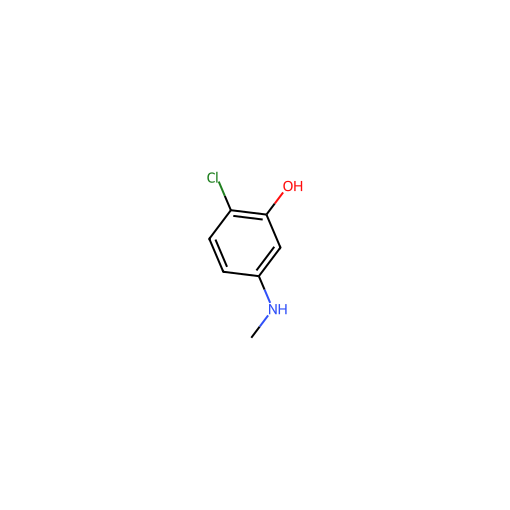 CNc1ccc(Cl)c(O)c1